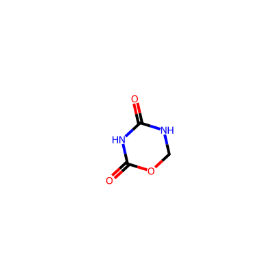 O=C1NCOC(=O)N1